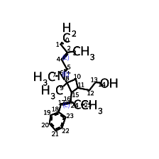 C=C/C(C)=C/C=[N+](\C)C1(C)CC(CCO)C1/C(=C/c1ccccc1)CC